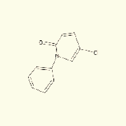 O=c1ccc(Cl)cn1-c1ccccc1